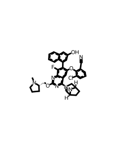 CN1CCC[C@H]1COc1nc(N2C[C@H]3CC[C@@H](C2)N3)c2cc(Oc3c(Cl)cccc3C#N)c(-c3cc(O)cc4ccccc34)c(F)c2n1